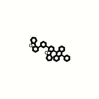 c1ccc(-c2c3ccccc3c(-c3ccc(-c4cccc(-c5cccc6oc7ccccc7c56)c4)c4oc5ccccc5c34)c3ccccc23)cc1